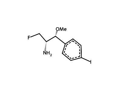 CO[C@H](c1ccc(I)cc1)[C@H](N)CF